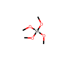 C[O][Sn]([O]C)([O]C)[O]C